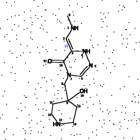 CN/C=C1\NN=CN(CC2(O)CCNCC2)C1=O